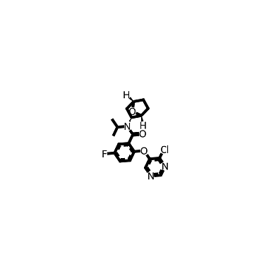 CC(C)N(C(=O)c1cc(F)ccc1Oc1cncnc1Cl)[C@@H]1C[C@@H]2CC[C@H]1O2